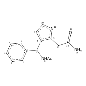 CC(=O)NC(c1ccccc1)n1ccnc1CC(N)=O